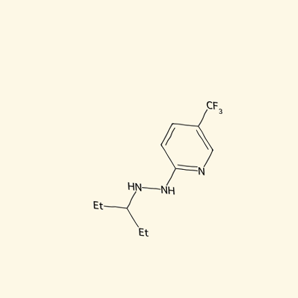 CCC(CC)NNc1ccc(C(F)(F)F)cn1